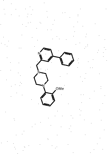 COc1ccccc1N1CCN(Cc2cc(-c3ccccc3)ccn2)CC1